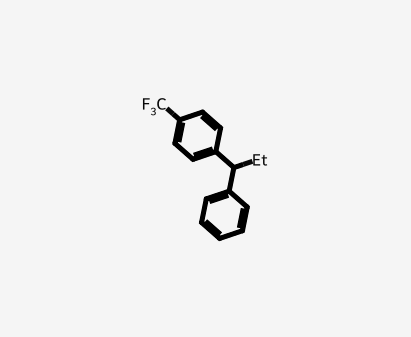 CCC(c1ccccc1)c1ccc(C(F)(F)F)cc1